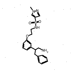 Cn1cc(S(=O)(=O)NCCOc2cccc(C(CN)Cc3ccccc3)c2)cn1